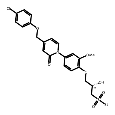 CCS(=O)(=O)C[C@@H](O)COc1ccc(-n2ccc(COc3ccc(Cl)cc3)cc2=O)cc1OC